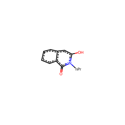 CCCn1c(O)cc2ccccc2c1=O